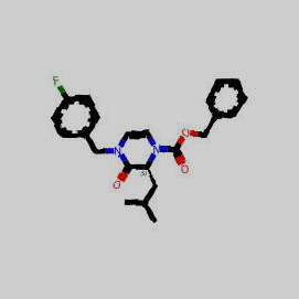 CC(C)C[C@H]1C(=O)N(Cc2ccc(F)cc2)C=CN1C(=O)OCc1ccccc1